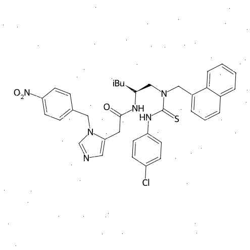 CC[C@H](C)[C@@H](CN(Cc1cccc2ccccc12)C(=S)Nc1ccc(Cl)cc1)NC(=O)Cc1cncn1Cc1ccc([N+](=O)[O-])cc1